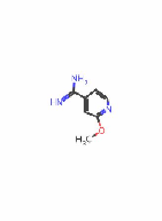 COc1cc(C(=N)N)ccn1